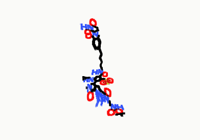 Cn1cc(-c2cc(CS(C)(=O)=O)c(C(=O)NCCCCCc3ccc4c(c3)CN(C3CCC(=O)NC3=O)C4=O)cc2NCC2CC2)c2cc(C(=O)NCCNC(=O)OC(C)(C)C)[nH]c2c1=O